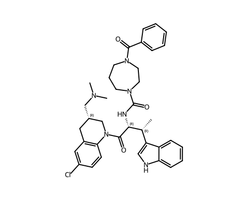 C[C@H](c1c[nH]c2ccccc12)[C@@H](NC(=O)N1CCCN(C(=O)c2ccccc2)CC1)C(=O)N1C[C@@H](CN(C)C)Cc2cc(Cl)ccc21